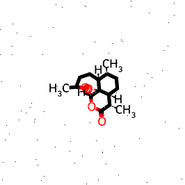 C[C@@H]1CC[C@H]2[C@H](C)C(=O)O[C@@H]3OC4(C)CC[C@@H]1[C@]32OO4